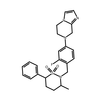 CC1CCC(c2ccccc2)S(=O)(=O)N1Cc1ccc(N2CCn3ccnc3C2)cc1F